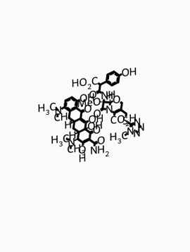 CN(C)c1ccc(O)c2c1C[C@H]1C[C@H]3[C@H](N(C)C)C(O)=C(C(N)=O)C(=O)[C@@]3(O)C(O)=C1C2=O.CO[C@@]1(NC(=O)C(C(=O)O)c2ccc(O)cc2)C(=O)N2C(C(=O)O)=C(CSc3nnnn3C)CO[C@@H]21